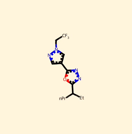 CCCC(CC)c1nnc(-c2cnn(CC(F)(F)F)c2)o1